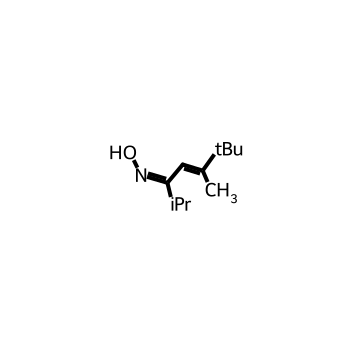 C/C(=C\C(=N/O)C(C)C)C(C)(C)C